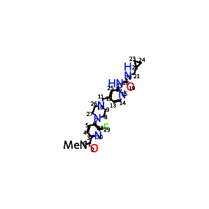 CNC(=O)c1ccc(N2CCN(Cc3ccnc(NC(=O)NCC4CC4)c3)CC2)c(F)n1